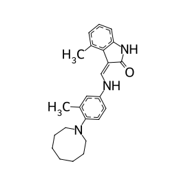 Cc1cc(NC=C2C(=O)Nc3cccc(C)c32)ccc1N1CCCCCCC1